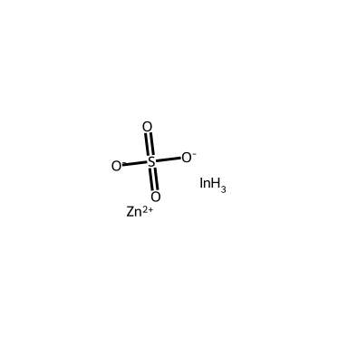 O=S(=O)([O-])[O-].[InH3].[Zn+2]